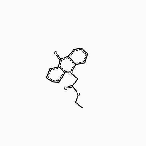 CCOC(=O)Cn1c2ccccc2c(=O)c2ccccc21